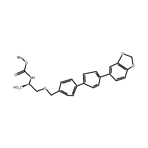 CC(C)(C)OC(=O)N[C@@H](CSCc1ccc(-c2ccc(-c3ccc4c(c3)OCO4)cc2)cc1)C(=O)O